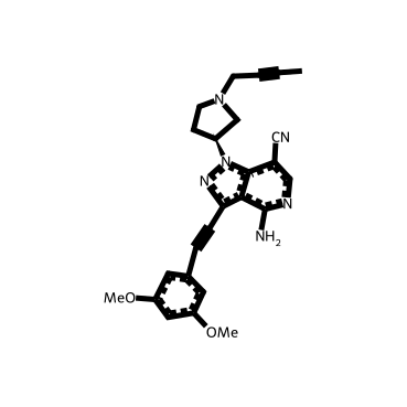 CC#CCN1CC[C@H](n2nc(C#Cc3cc(OC)cc(OC)c3)c3c(N)ncc(C#N)c32)C1